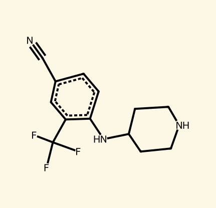 N#Cc1ccc(NC2CCNCC2)c(C(F)(F)F)c1